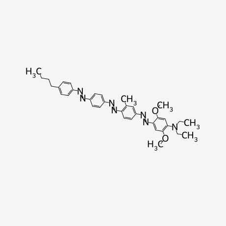 CCCCc1ccc(/N=N/c2ccc(/N=N/c3ccc(/N=N/c4cc(OC)c(N(CC)CC)cc4OC)cc3C)cc2)cc1